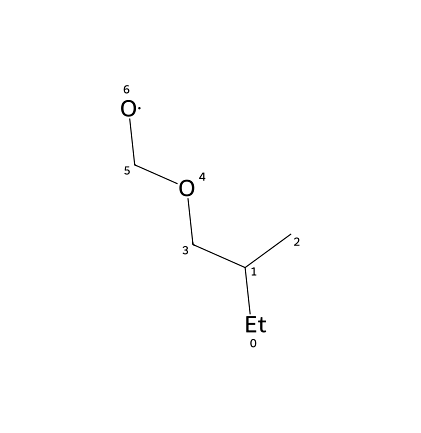 CCC(C)COC[O]